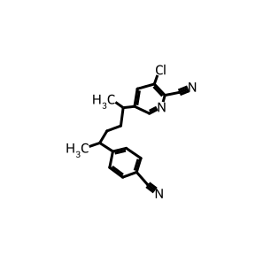 CC(CCC(C)c1cnc(C#N)c(Cl)c1)c1ccc(C#N)cc1